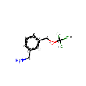 NCc1cccc(COC(F)(F)F)c1